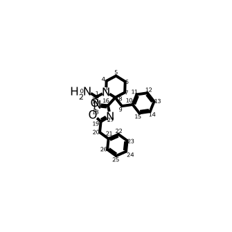 NC(=O)N1CCCCC1(Cc1ccccc1)c1noc(Cc2ccccc2)n1